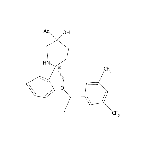 CC(=O)C1(O)CC[C@@](COC(C)c2cc(C(F)(F)F)cc(C(F)(F)F)c2)(c2ccccc2)NC1